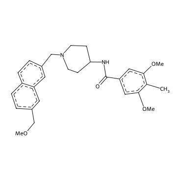 COCc1ccc2ccc(CN3CCC(NC(=O)c4cc(OC)c(C)c(OC)c4)CC3)cc2c1